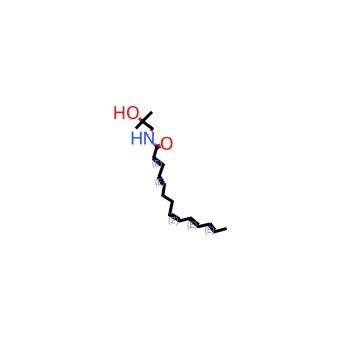 C/C=C/C=C/C=C\CC/C=C/C=C/C(=O)NCC(C)(C)O